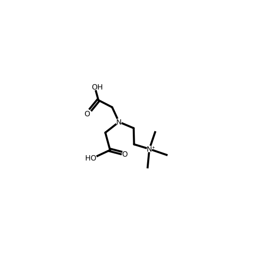 C[N+](C)(C)CCN(CC(=O)O)CC(=O)O